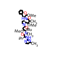 CC[C@H](C)[C@@H]([C@@H](CC(=O)N1CCC[C@H]1[C@H](OC)[C@@H](C)C(=O)N[C@@H](Cc1ccccc1)C(=O)OC)OC)N(C)C(=O)[C@@H](Nc1nccc(C)n1)C(C)C